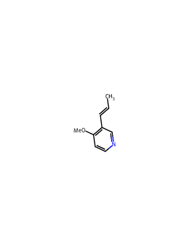 C/C=C/c1cnccc1OC